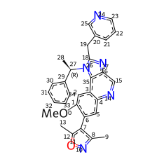 COc1cc2c(cc1-c1c(C)noc1C)ncc1nc(Cc3cccnc3)n([C@H](C)c3ccccc3)c12